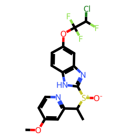 COc1ccnc(C(C)[S+]([O-])c2nc3cc(OC(F)(F)C(F)Cl)ccc3[nH]2)c1